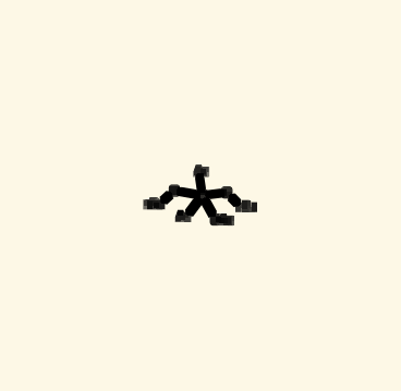 CCCC[O][Ti]([O]CCCC)([O]C(C)=O)([C](C)=O)[C](C)=O